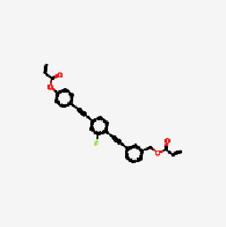 C=CC(=O)OCc1cccc(C#Cc2ccc(C#Cc3ccc(OC(=O)C=C)cc3)cc2F)c1